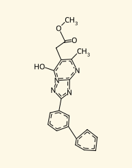 COC(=O)Cc1c(C)nc2nc(-c3cccc(-c4ccccc4)c3)nn2c1O